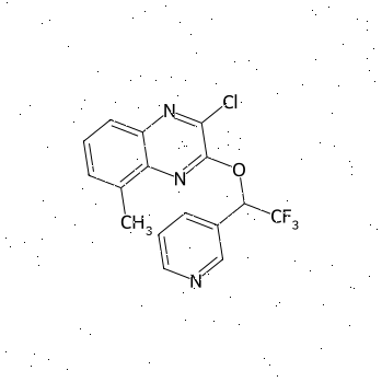 Cc1cccc2nc(Cl)c(OC(c3cccnc3)C(F)(F)F)nc12